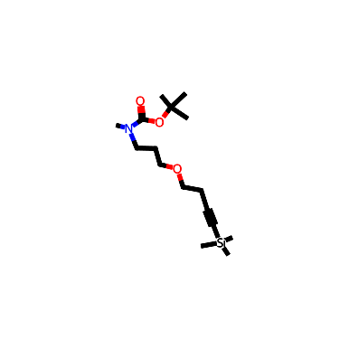 CN(CCCOCCC#C[Si](C)(C)C)C(=O)OC(C)(C)C